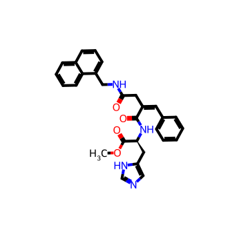 COC(=O)[C@H](Cc1cnc[nH]1)NC(=O)C(=Cc1ccccc1)CC(=O)NCc1cccc2ccccc12